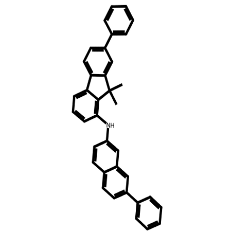 CC1(C)c2cc(-c3ccccc3)ccc2-c2cccc(Nc3ccc4ccc(-c5ccccc5)cc4c3)c21